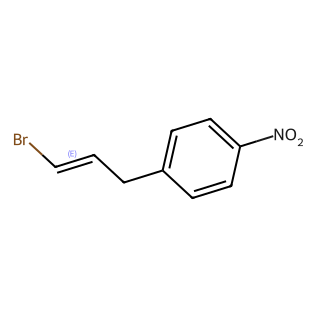 O=[N+]([O-])c1ccc(C/C=C/Br)cc1